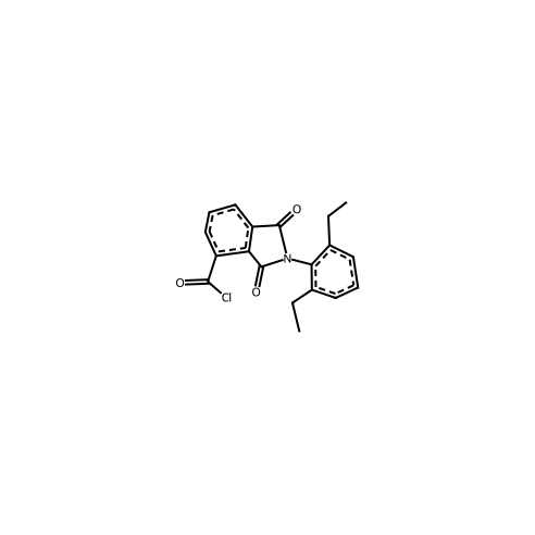 CCc1cccc(CC)c1N1C(=O)c2cccc(C(=O)Cl)c2C1=O